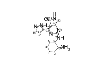 NC1CCCCC1Nc1nc2c(c(-c3ccn[nH]3)n1)C(=O)NC2